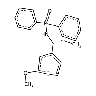 CC[C@@H](NP(=O)(c1ccccc1)c1ccccc1)c1cccc(OC)c1